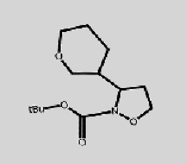 CC(C)(C)OC(=O)N1OCCC1C1CCCOC1